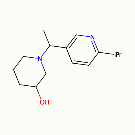 CC(C)c1ccc(C(C)N2CCCC(O)C2)cn1